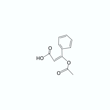 CC(=O)OC(=CC(=O)O)c1ccccc1